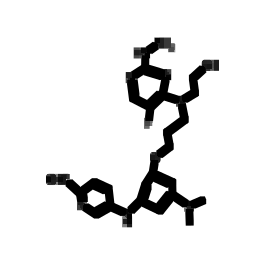 CN(C)c1cc(Nc2ccc(C=O)nc2)cc(OCCCN(CCO)c2nc(NN)ncc2F)c1